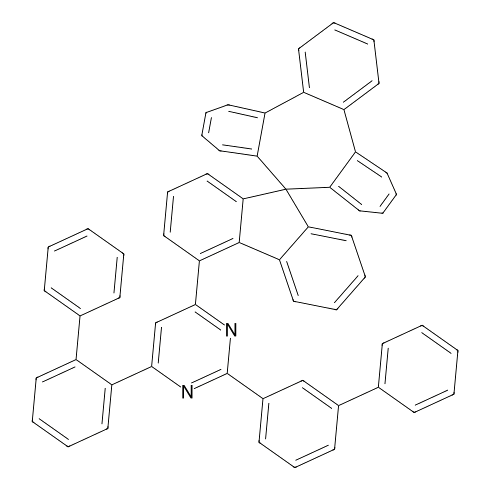 c1ccc(-c2cccc(-c3nc(-c4ccccc4-c4ccccc4)cc(-c4cccc5c4-c4ccccc4C54c5ccccc5-c5ccccc5-c5ccccc54)n3)c2)cc1